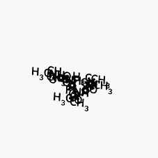 Cc1c(C)n(C)c(=O)n(-c2ccc(C[C@H](NC(=O)c3cc(F)c(NS(=O)(=O)c4ccc(C(=O)NC(C)(C)C)cc4)cc3F)C(=O)OC(C)C)cc2)c1=O